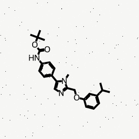 CC(C)c1cccc(OCc2ncc(-c3ccc(NC(=O)OC(C)(C)C)cc3)n2C)c1